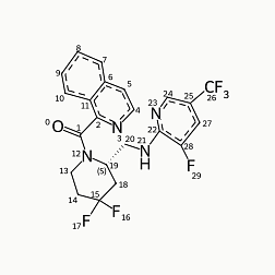 O=C(c1nccc2ccccc12)N1CCC(F)(F)C[C@H]1CNc1ncc(C(F)(F)F)cc1F